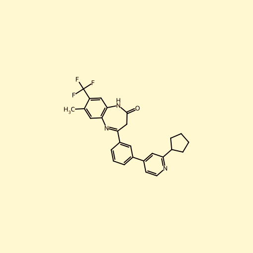 Cc1cc2c(cc1C(F)(F)F)NC(=O)CC(c1cccc(-c3ccnc(C4CCCC4)c3)c1)=N2